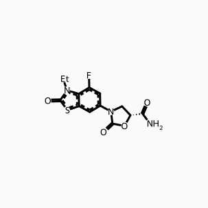 CCn1c(=O)sc2cc(N3C[C@H](C(N)=O)OC3=O)cc(F)c21